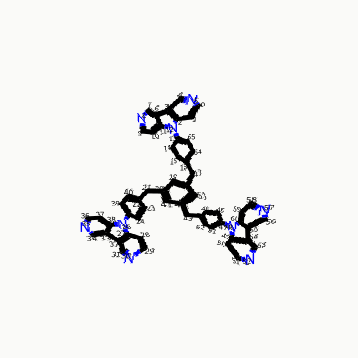 c1cc2c(cn1)c1cnccc1n2-c1ccc(Cc2cc(Cc3ccc(-n4c5ccncc5c5cnccc54)cc3)cc(Cc3ccc(-n4c5ccncc5c5cnccc54)cc3)c2)cc1